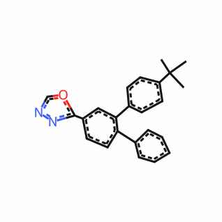 CC(C)(C)c1ccc(-c2cc(-c3nnco3)ccc2-c2ccccc2)cc1